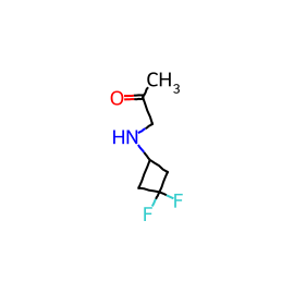 CC(=O)CNC1CC(F)(F)C1